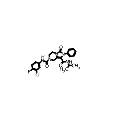 CC(C)NC(=O)c1c2n(c(=O)n1-c1ccccc1)CCN(C(=O)Nc1ccc(F)c(Cl)c1)C2